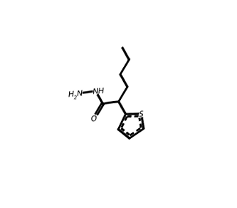 CCCCC(C(=O)NN)c1cccs1